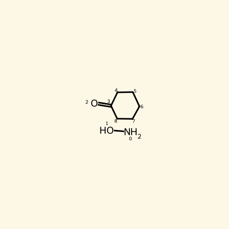 NO.O=C1CCCCC1